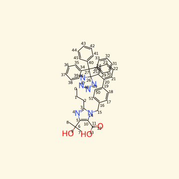 CCCc1nc(C(C)(C)O)c(C(=O)O)n1Cc1ccc(-c2ccccc2C2(C(c3ccccc3)(c3ccccc3)c3ccccc3)N=NN=N2)cc1